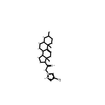 CC1CCC2(C)C3=CCC4(C)C(C(=O)Cn5cc(C#N)cn5)CCC4C3CCC2C1